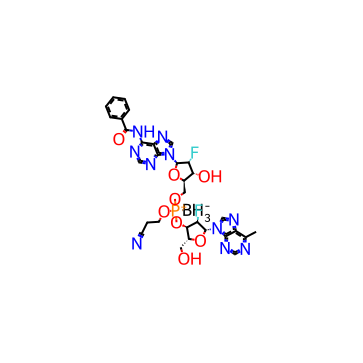 [BH3-][P+](OCCC#N)(OC[C@H]1O[C@@H](n2cnc3c(NC(=O)c4ccccc4)ncnc32)[C@H](F)[C@@H]1O)O[C@H]1[C@@H](F)[C@H](n2cnc3c(C)ncnc32)O[C@@H]1CO